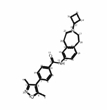 Cc1noc(C)c1-c1ccc(C(=O)Nc2ccc3c(c2)CCN(C2CCC2)CC3)cc1